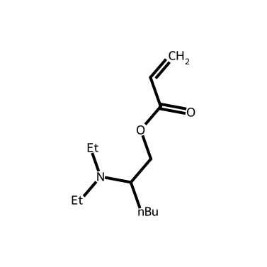 C=CC(=O)OCC(CCCC)N(CC)CC